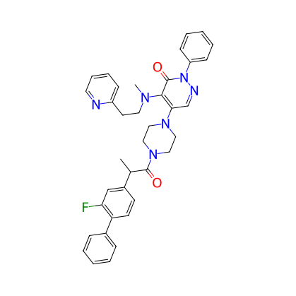 CC(C(=O)N1CCN(c2cnn(-c3ccccc3)c(=O)c2N(C)CCc2ccccn2)CC1)c1ccc(-c2ccccc2)c(F)c1